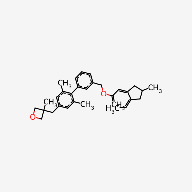 C=C(/C=C1/CC(C)C/C1=C/C)OCc1cccc(-c2c(C)cc(CC3(C)COC3)cc2C)c1